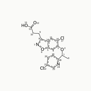 CC(Oc1cc2onc(CCC(=O)O)c2cc1Cl)c1ccc(Cl)cn1